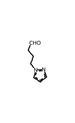 O=CCCCn1cccn1